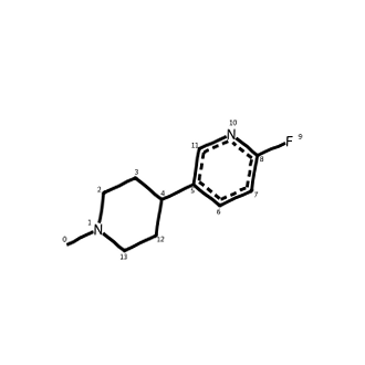 CN1CCC(c2ccc(F)nc2)CC1